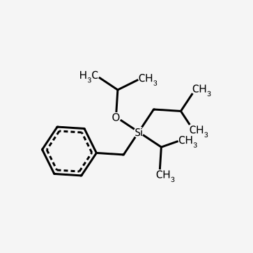 CC(C)C[Si](Cc1ccccc1)(OC(C)C)C(C)C